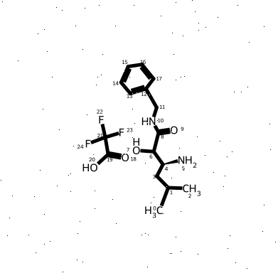 CC(C)C[C@H](N)C(O)C(=O)NCc1ccccc1.O=C(O)C(F)(F)F